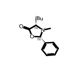 CCC(C)[C@H]1C(=O)O[C@@H](c2ccccc2)N1C